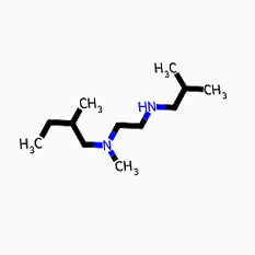 CCC(C)CN(C)CCNCC(C)C